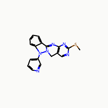 CSc1ncc2c(n1)N=C1c3ccccc3N(c3cccnc3)N1C2